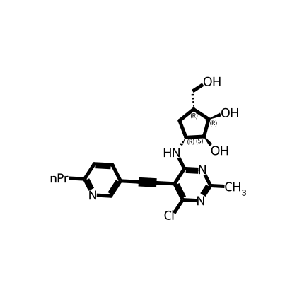 CCCc1ccc(C#Cc2c(Cl)nc(C)nc2N[C@@H]2C[C@H](CO)[C@@H](O)[C@H]2O)cn1